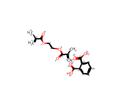 C=C(C)C(=O)OCCOC(=O)C(=C)C.O=C(O)c1ccccc1C(=O)O